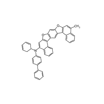 Cc1cc2oc3cc4oc5cc(N(c6ccc(-c7ccccc7)cc6)C6C=CC=CC6)c6ccccc6c5c4cc3c2c2ccccc12